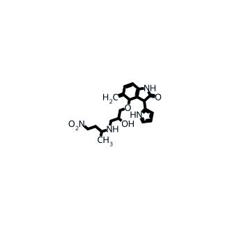 C=C1C=CC2=C(C1OCC(O)CNC(C)CC[N+](=O)[O-])C(c1ccc[nH]1)C(=O)N2